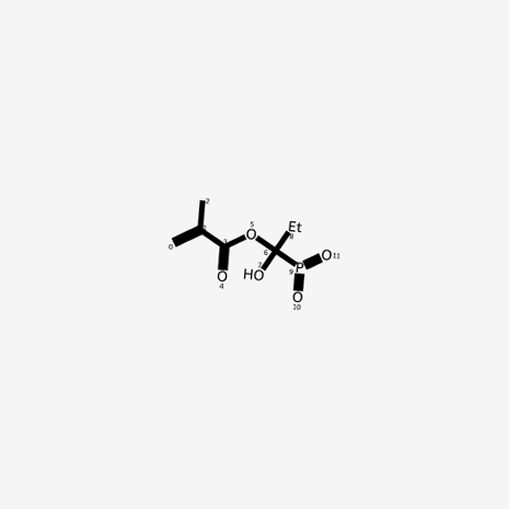 C=C(C)C(=O)OC(O)(CC)P(=O)=O